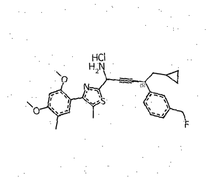 COc1cc(OC)c(-c2nc(C(N)C#C[C@@H](CC3CC3)c3cccc(CF)c3)sc2C)cc1C.Cl